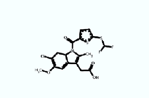 COC1=C(Cl)CC2C(=C1)C(CC(=O)O)=C(C)N2C(=O)c1ccc(SC(F)F)s1